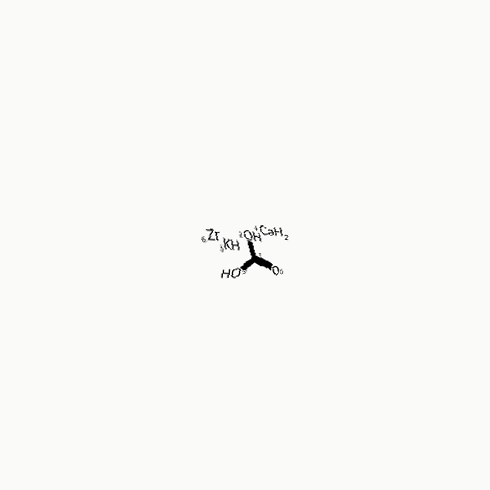 O=C(O)O.[CaH2].[KH].[Zr]